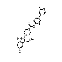 COCc1c(N2CCN(C(=O)Oc3ncc(-c4ccnc(C)c4)cn3)CC2)[nH]c2ccc(Cl)cc12